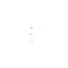 c1ccc(-c2ccc(-c3nc(-c4ccccc4)nc(-c4cccc(-n5c6cccc(-c7ccc8c(c7)N(c7ccccc7)c7ccccc7O8)c6c6c7ccccc7ccc65)c4)n3)cc2)cc1